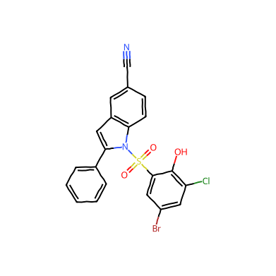 N#Cc1ccc2c(c1)cc(-c1ccccc1)n2S(=O)(=O)c1cc(Br)cc(Cl)c1O